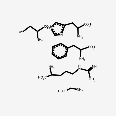 CC(C)CC(N)C(=O)O.N=C(N)NCCCC(N)C(=O)O.NC(Cc1c[nH]cn1)C(=O)O.NC(Cc1ccccc1)C(=O)O.NCC(=O)O